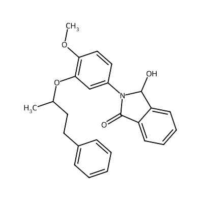 COc1ccc(N2C(=O)c3ccccc3C2O)cc1OC(C)CCc1ccccc1